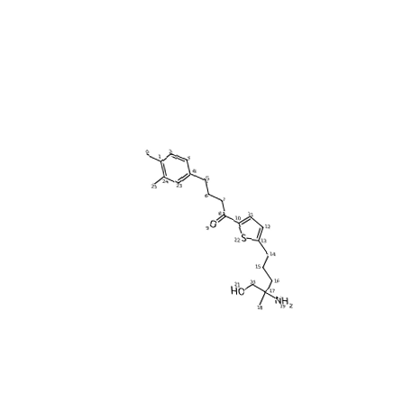 Cc1ccc(CCCC(=O)c2ccc(CCCC(C)(N)CO)s2)cc1C